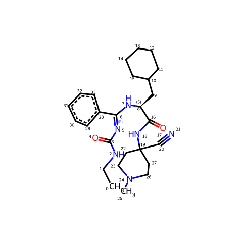 CCNC(=O)/N=C(/N[C@@H](CC1CCCCC1)C(=O)NC1(C#N)CCN(C)CC1)c1ccccc1